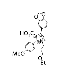 CCOCCC[N+]1=C[C@H](c2ccc3c(c2)OCO3)[C@H](C(=O)O)[C@H]1c1ccc(OC)cc1